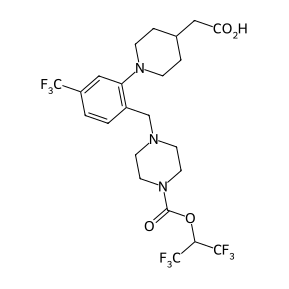 O=C(O)CC1CCN(c2cc(C(F)(F)F)ccc2CN2CCN(C(=O)OC(C(F)(F)F)C(F)(F)F)CC2)CC1